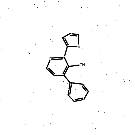 N#Cc1c(-c2ccccc2)ccnc1-c1cccs1